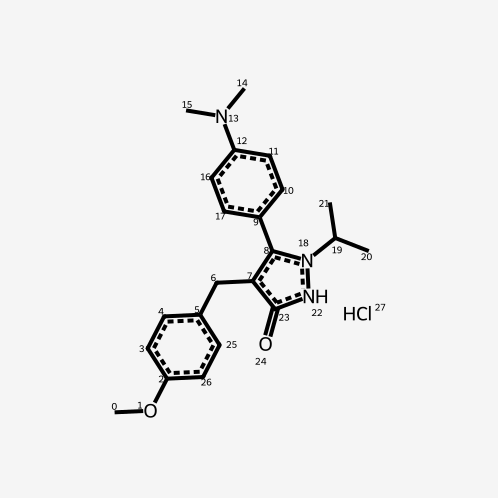 COc1ccc(Cc2c(-c3ccc(N(C)C)cc3)n(C(C)C)[nH]c2=O)cc1.Cl